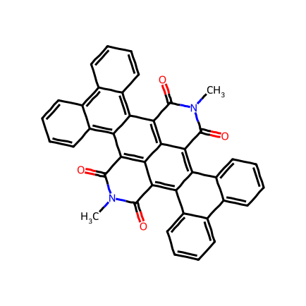 CN1C(=O)c2c3c(c4c5ccccc5c5ccccc5c4c4c3c(c3c5ccccc5c5ccccc5c23)C(=O)N(C)C4=O)C1=O